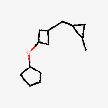 CC1CC1CC1CC(OC2CCCC2)C1